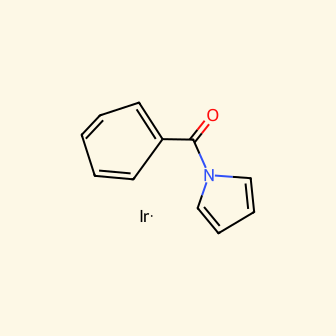 O=C(c1ccccc1)n1cccc1.[Ir]